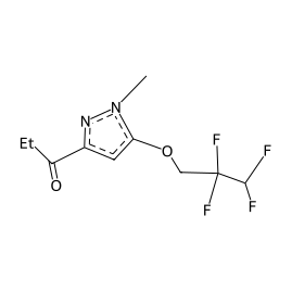 CCC(=O)c1cc(OCC(F)(F)C(F)F)n(C)n1